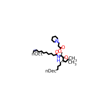 CCCCCCCC/C=C\CCCCCCCC(=O)N[C@@H](COC(=O)CCN1CCCCC1)[C@@H]1OC(C)(C)C[C@@H]1CCCCCCCCCCCCCC